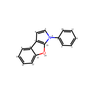 c1ccc(-n2ccc3c4ccccc4oc32)cc1